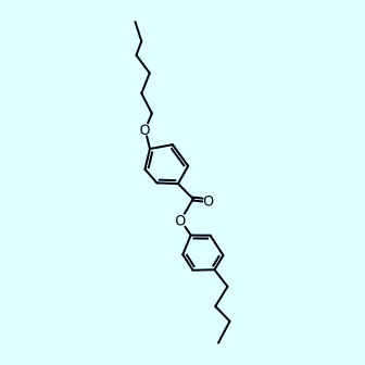 CCCCCCOc1ccc(C(=O)Oc2ccc(CCCC)cc2)cc1